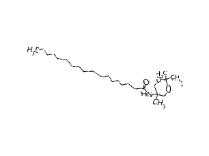 CCCCCCCCCCCCCCCCCC(=O)NC1(C)COC(C)(C)OC1